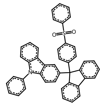 O=S(=O)(c1ccccc1)c1ccc(C2(c3ccc4c(c3)c3ccccc3n4-c3ccccc3)c3ccccc3-c3ccccc32)cc1